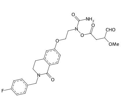 COC(C=O)CC(=O)ON(CCOc1ccc2c(c1)CCN(Cc1ccc(F)cc1)C2=O)C(N)=O